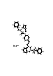 CN(C[C@H](CCN1CCC(N(CC2CCC2)C(=O)OCc2ccccc2)CC1)c1ccccc1)S(=O)(=O)c1ccccc1.Cl